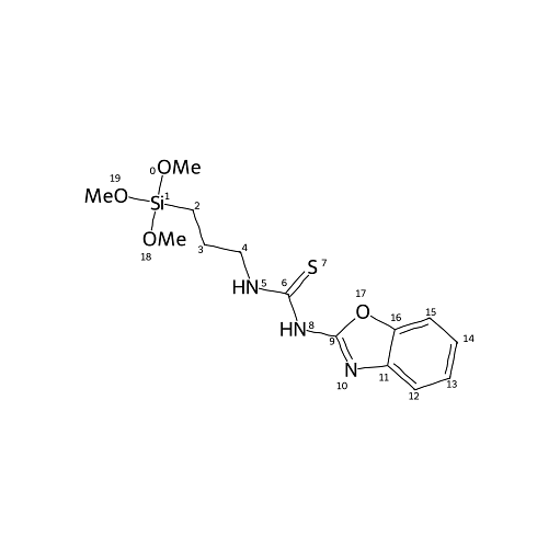 CO[Si](CCCNC(=S)Nc1nc2ccccc2o1)(OC)OC